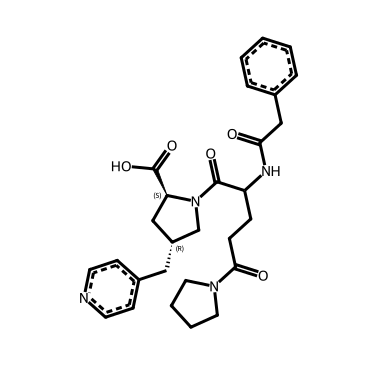 O=C(Cc1ccccc1)NC(CCC(=O)N1CCCC1)C(=O)N1C[C@H](Cc2ccncc2)C[C@H]1C(=O)O